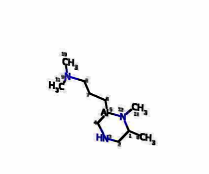 CC1CN[CH2][Al]([CH2]CCN(C)C)[N]1C